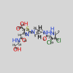 Cc1[nH]c(C(=O)NC2[C@H]3CN(c4nc(CC(=O)NCCO)c(C(=O)O)s4)C[C@@H]23)c(Cl)c1Cl